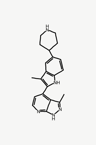 Cc1c(-c2ccnc3[nH]nc(C)c23)[nH]c2ccc(C3CCNCC3)cc12